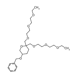 CCOCCOCCOCC1(COCCOCCOCC)CCC(OCc2ccccc2)CO1